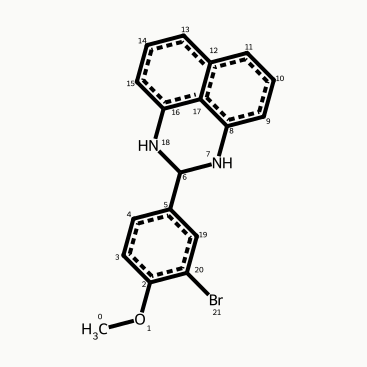 COc1ccc(C2Nc3cccc4cccc(c34)N2)cc1Br